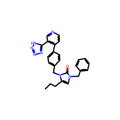 CCCc1cn(Cc2ccccc2)c(=O)n1Cc1ccc(-c2ccncc2-c2nnn[nH]2)cc1